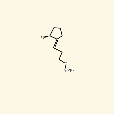 CCCCCCCOCC/C=C1\CCC[C@@H]1CC